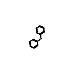 c1ccc([P]c2ccccc2)cc1